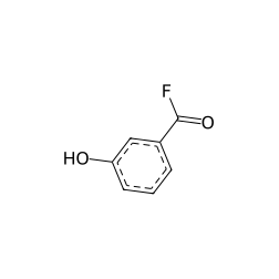 O=C(F)c1cccc(O)c1